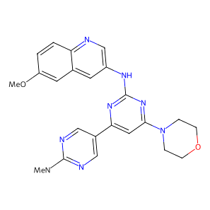 CNc1ncc(-c2cc(N3CCOCC3)nc(Nc3cnc4ccc(OC)cc4c3)n2)cn1